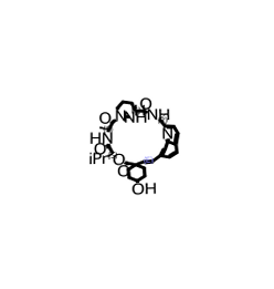 CC(C)[C@@H]1OC(=O)C2(/C=C/c3ccc4ccc(nc4c3)[C@@H](C)NC(=O)[C@@H]3CCCN(N3)C(=O)[C@H](C)NC1=O)CCC(O)CC2